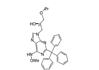 CONc1nc(C(c2ccccc2)(c2ccccc2)c2ccccc2)nc2c1ncn2C[C@@H](O)COC(C)C